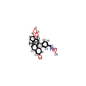 COC[C@]1(OC)CC[C@H]2[C@@H]3CCC4=CC(=O)CCC4=C3[C@@H](c3ccc(C=NOC)cc3)C[C@@]21C